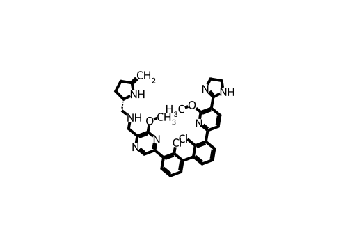 C=C1CC[C@@H](CNCc2ncc(-c3cccc(-c4cccc(-c5ccc(C6=NCCN6)c(OC)n5)c4Cl)c3Cl)nc2OC)N1